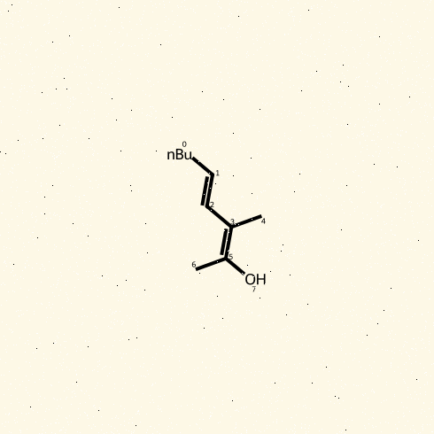 CCCC/C=C/C(C)=C(\C)O